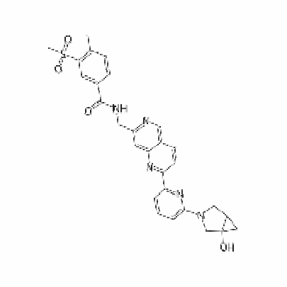 Cc1ccc(C(=O)NCc2cc3nc(-c4cccc(N5CC6CC6(O)C5)n4)ccc3cn2)cc1S(C)(=O)=O